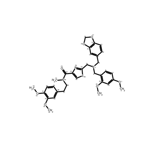 COc1ccc(CN(Cc2ccc3c(c2)OCO3)Cc2nc(C(=O)N(C)CCc3ccc(OC)c(OC)c3)cs2)c(OC)c1